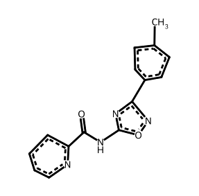 Cc1ccc(-c2noc(NC(=O)c3ccccn3)n2)cc1